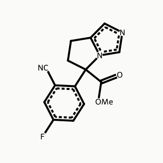 COC(=O)C1(c2ccc(F)cc2C#N)CCc2cncn21